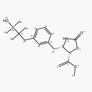 COC(=O)[C@H]1OC(=O)N[C@H]1Cc1cccc(CC(C)(C)[Si](C)(C)O)c1